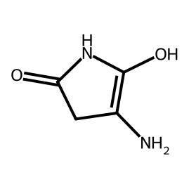 NC1=C(O)NC(=O)C1